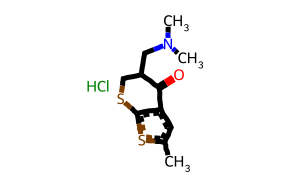 Cc1cc2c(s1)SCC(CN(C)C)C2=O.Cl